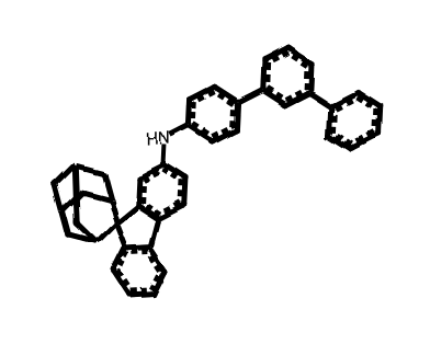 c1ccc(-c2cccc(-c3ccc(Nc4ccc5c(c4)C4(c6ccccc6-5)C5CC6CC(C5)CC4C6)cc3)c2)cc1